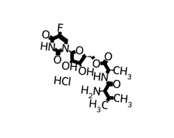 CC(C)[C@H](N)C(=O)N[C@@H](C)C(=O)OC[C@H]1O[C@@H](n2cc(F)c(=O)[nH]c2=O)[C@H](O)[C@@H]1O.Cl